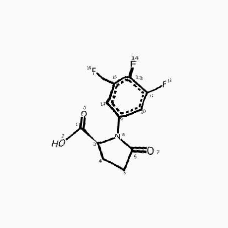 O=C(O)[C@@H]1CCC(=O)N1c1cc(F)c(F)c(F)c1